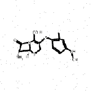 N#CNc1ccc(SC2=C(C(=O)O)N3C(=O)[C@@H](N)[C@@H]3SC2)c(I)c1